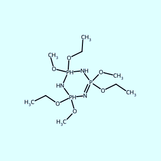 CCOP1(OC)=N[PH](OC)(OCC)N[PH](OC)(OCC)N1